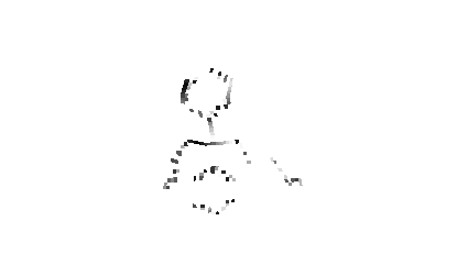 N#CCC(CCCO)(c1ccccc1)c1ccccc1